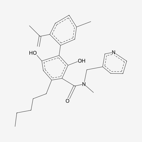 C=C(C)c1ccc(C)cc1-c1c(O)cc(CCCCC)c(C(=O)N(C)Cc2cccnc2)c1O